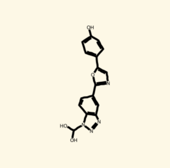 Oc1ccc(-c2cnc(-c3ccc4c(c3)nnn4C(O)O)o2)cc1